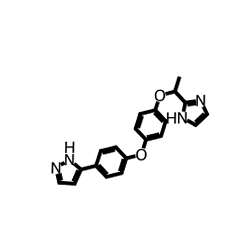 CC(Oc1ccc(Oc2ccc(-c3ccn[nH]3)cc2)cc1)c1ncc[nH]1